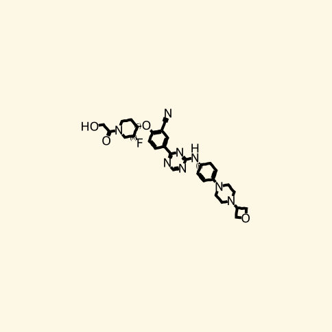 N#Cc1cc(-c2ncnc(N[C@H]3C=CC(N4CCN(C5COC5)CC4)=CC3)n2)ccc1O[C@H]1CCN(C(=O)CO)C[C@H]1F